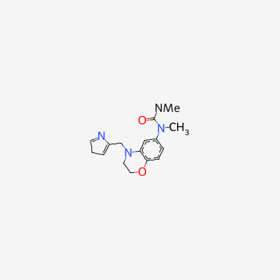 CNC(=O)N(C)c1ccc2c(c1)N(CC1=CCC=N1)CCO2